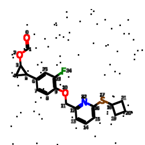 O=COC1CC1c1ccc(OCc2cccc(SC3CCC3)n2)c(F)c1